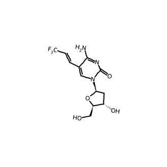 Nc1nc(=O)n([C@H]2C[C@H](O)[C@@H](CO)O2)cc1/C=C/C(F)(F)F